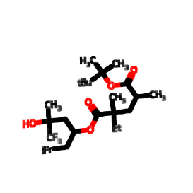 CCC(C)(CC(C)C(=O)OC(C)(C)C(C)(C)C)C(=O)OC(CC(C)C)CC(C)(O)C(F)(F)F